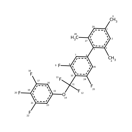 Cc1cc(C)c(-c2cc(F)c(C(F)(F)Oc3cc(F)c(F)c(F)c3)c(F)c2)c(C)c1